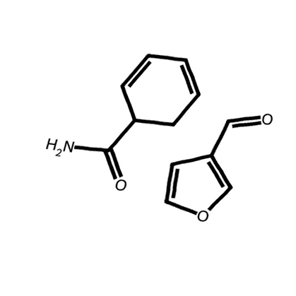 NC(=O)C1C=CC=CC1.O=Cc1ccoc1